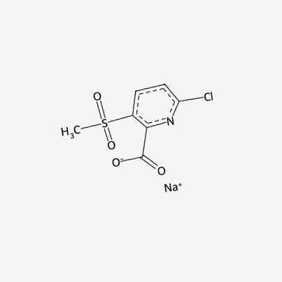 CS(=O)(=O)c1ccc(Cl)nc1C(=O)[O-].[Na+]